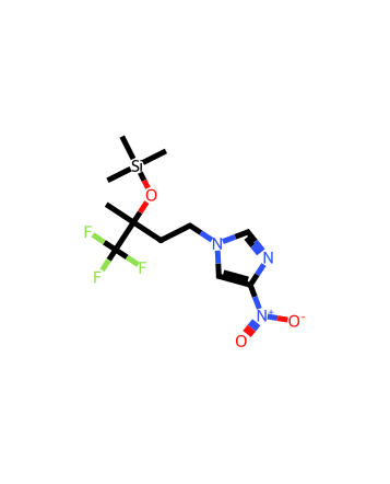 CC(CCn1cnc([N+](=O)[O-])c1)(O[Si](C)(C)C)C(F)(F)F